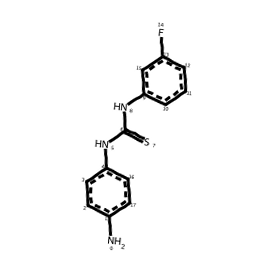 Nc1ccc(NC(=S)Nc2cccc(F)c2)cc1